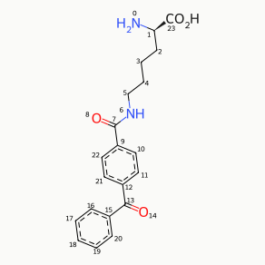 N[C@H](CCCCNC(=O)c1ccc(C(=O)c2ccccc2)cc1)C(=O)O